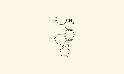 CCC(C)c1cccc2c1CCCC21CC2C=CC1C2